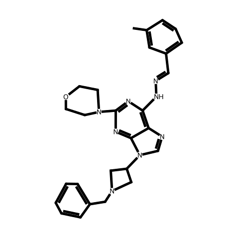 Cc1cccc(C=NNc2nc(N3CCOCC3)nc3c2ncn3C2CN(Cc3ccccc3)C2)c1